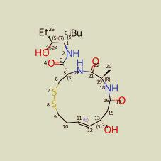 CC[C@H](C)[C@@H](NC(=O)[C@H]1CSSCC/C=C/[C@@H](O)CC(=O)N[C@H](C)C(=O)N1)[C@@H](O)CC